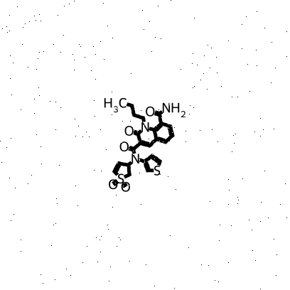 CCCCn1c(=O)c(C(=O)N(c2ccsc2)C2C=CS(=O)(=O)C2)cc2cccc(C(N)=O)c21